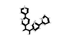 CC(c1ccc(-c2ccncc2)nc1)C(C)c1ccc(-c2ccccn2)nc1